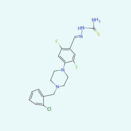 NC(=S)NN=Cc1cc(F)c(N2CCN(Cc3ccccc3Cl)CC2)cc1F